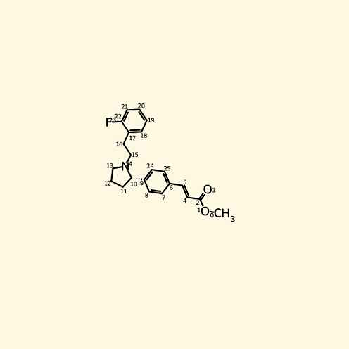 COC(=O)C=Cc1ccc([C@@H]2CCCN2CCc2ccccc2F)cc1